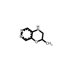 CC1CNc2cnncc2O1